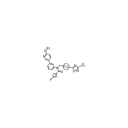 CCOc1ccc(-c2cccc(N(CC34CCC(c5nc(C6CC6)no5)(CC3)CC4)C(=O)C34CC(F)(C3)C4)c2)cn1